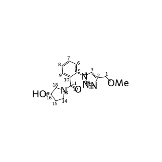 COCc1cn(-c2ccccc2C(=O)N2CC[C@@H](O)C2)nn1